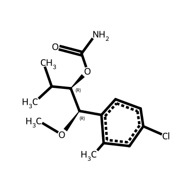 CO[C@H](c1ccc(Cl)cc1C)[C@H](OC(N)=O)C(C)C